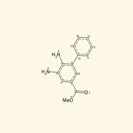 COC(=O)c1cc(N)c(N)c(-c2ccccc2)c1